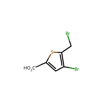 O=C(O)c1cc(Br)c(CBr)s1